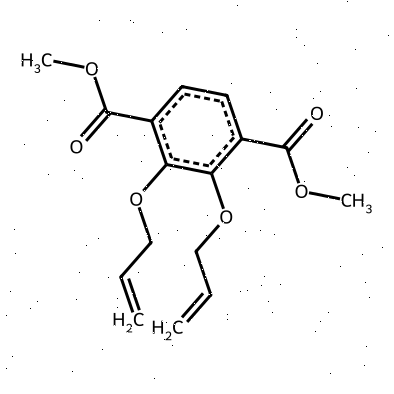 C=CCOc1c(C(=O)OC)ccc(C(=O)OC)c1OCC=C